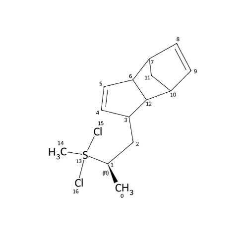 C[C@H](CC1C=CC2C3C=CC(C3)C12)S(C)(Cl)Cl